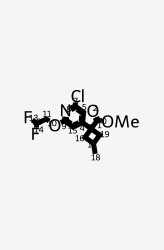 COC(=O)C1(c2cc(Cl)nc(OCC(F)F)c2)CC(C)C1